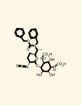 C[C@H]([C@@H]1CC[C@@H](N=[N+]=[N-])C(O[C@H]2[C@H](O)[C@@H](O)[C@H](NC(=O)O)[C@@H](O)[C@@H]2NC(=O)O)O1)N(Cc1ccccc1)C(=O)OCc1ccccc1